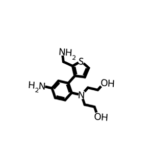 NCc1sccc1-c1cc(N)ccc1N(CCO)CCO